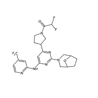 O=C(C(F)F)N1CCC(c2cc(Nc3cc(C(F)(F)F)ccn3)nc(N3CC4CCC(C3)O4)n2)C1